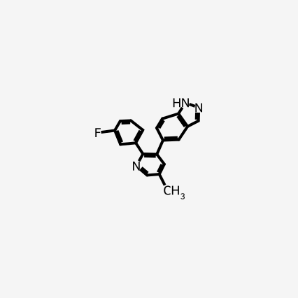 Cc1cnc(-c2cccc(F)c2)c(-c2ccc3[nH]ncc3c2)c1